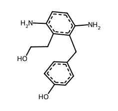 Nc1ccc(N)c(Cc2ccc(O)cc2)c1CCO